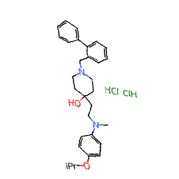 CC(C)Oc1ccc(N(C)CCC2(O)CCN(Cc3ccccc3-c3ccccc3)CC2)cc1.Cl.Cl